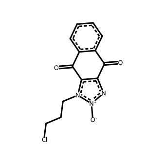 O=C1c2ccccc2C(=O)c2c1n[n+]([O-])n2CCCCl